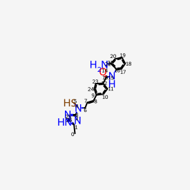 Cc1nc(N(S)CC=Cc2ccc(C(=O)Nc3ccccc3N)cc2)n[nH]1